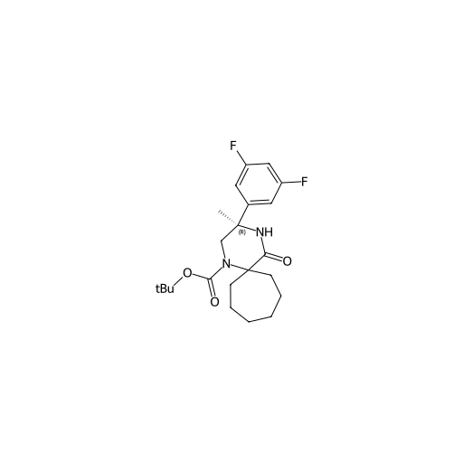 CC(C)(C)OC(=O)N1C[C@@](C)(c2cc(F)cc(F)c2)NC(=O)C12CCCCCC2